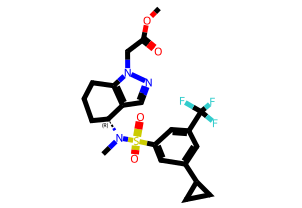 COC(=O)Cn1ncc2c1CCC[C@H]2N(C)S(=O)(=O)c1cc(C2CC2)cc(C(F)(F)F)c1